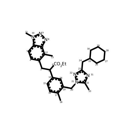 CCOC(=O)C(Cc1ccc2c(nnn2C)c1C)c1ccc(C)c(Cn2nc(CC3CCCCC3)nc2C)c1